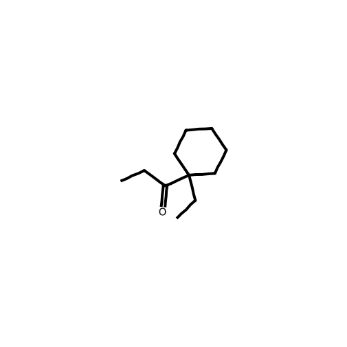 CCC(=O)C1(CC)CCCCC1